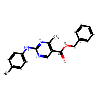 N#Cc1ccc(Nc2ncc(C(=O)OCc3ccccc3)c(C(F)(F)F)n2)cc1